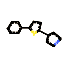 [c]1ccc(-c2ccc(-c3ccncc3)s2)cc1